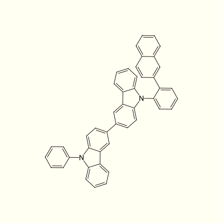 c1ccc(-n2c3ccccc3c3cc(-c4ccc5c(c4)c4ccccc4n5-c4ccccc4-c4ccc5ccccc5c4)ccc32)cc1